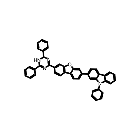 c1ccc(C2=NC(c3ccc4c(c3)oc3cc(-c5ccc6c7ccccc7n(-c7ccccc7)c6c5)ccc34)=NC(c3ccccc3)N2)cc1